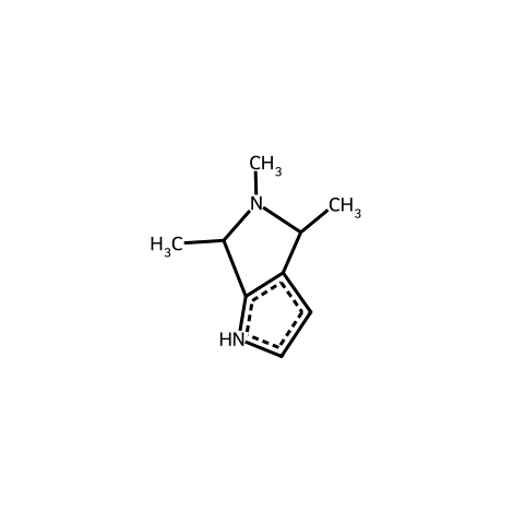 CC1c2cc[nH]c2C(C)N1C